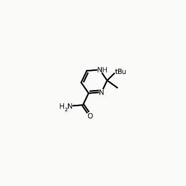 CC(C)(C)C1(C)N=C(C(N)=O)C=CN1